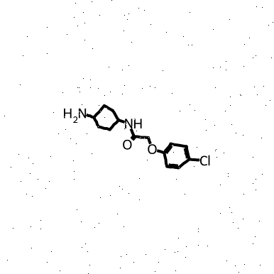 NC1CCC(NC(=O)COc2ccc(Cl)cc2)CC1